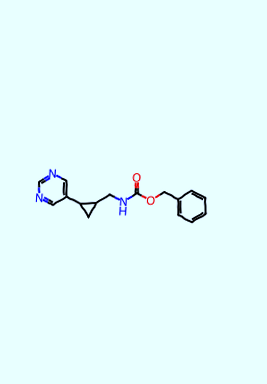 O=C(NCC1CC1c1cncnc1)OCc1ccccc1